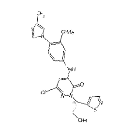 COc1cc(Nc2cc(Cl)nn([C@@H](CO)c3ccns3)c2=O)ccc1-n1cnc(C)c1